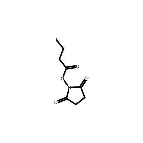 O=C(CCI)ON1C(=O)CCC1=O